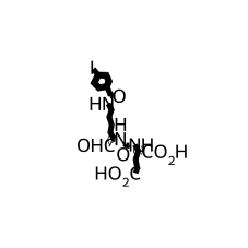 O=C[C@H](CCCCNC(=O)c1ccc(I)cc1)NC(=O)N[C@@H](CCC(=O)O)C(=O)O